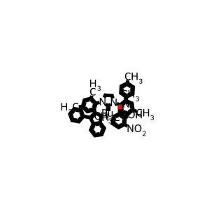 Cc1ccc(N=Cc2[c](/[Ru](=[C]3N(c4c(C)cc(C)cc4C)CCN3c3c(C)cc(C)cc3C)=[C]3/C=C(c4ccccc4)c4ccccc43)ccc([N+](=O)[O-])c2O)cc1